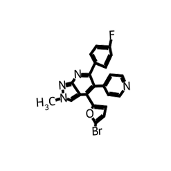 Cn1cc2c(-c3ccc(Br)o3)c(-c3ccncc3)c(-c3ccc(F)cc3)nc2n1